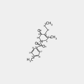 CCCC1=C(C)CN(S(=O)(=O)c2ccc(C)cc2)CC1=O